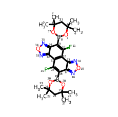 CC1(C)CC(C)(C)OB(c2c(F)c3c4nonc4c(B4OC(C)(C)CC(C)(C)O4)c(F)c3c3nonc23)O1